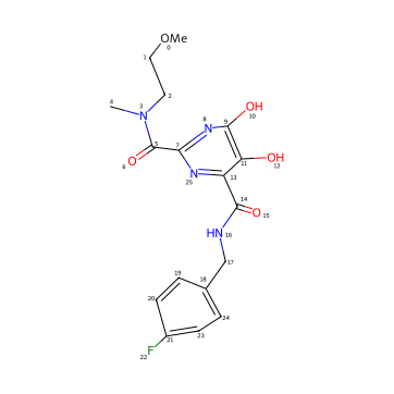 COCCN(C)C(=O)c1nc(O)c(O)c(C(=O)NCc2ccc(F)cc2)n1